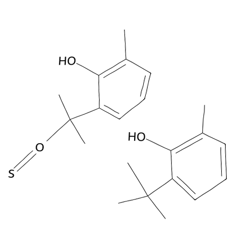 Cc1cccc(C(C)(C)C)c1O.Cc1cccc(C(C)(C)C)c1O.O=S